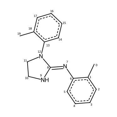 Cc1ccccc1N=C1NCCN1c1ccccc1C